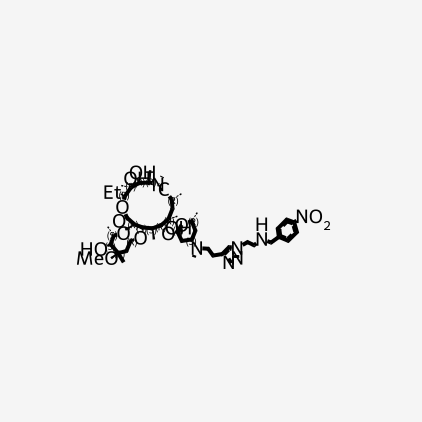 CC[C@H]1OC(=O)[C@H](C)[C@@H](O[C@H]2C[C@@](C)(OC)[C@@H](O)[C@H](C)O2)[C@H](C)[C@@H](O[C@H]2C[C@@H](N(C)CCc3cn(CCNCc4ccc([N+](=O)[O-])cc4)nn3)C[C@@H](C)O2)[C@](C)(O)C[C@@H](C)CN(C)[C@H](C)[C@@H](O)[C@]1(C)O